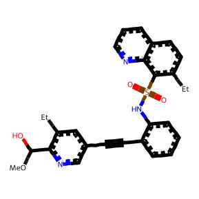 CCc1cc(C#Cc2ccccc2NS(=O)(=O)c2c(CC)ccc3cccnc23)cnc1C(O)OC